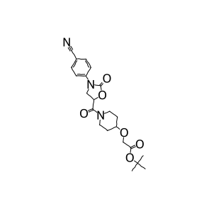 CC(C)(C)OC(=O)COC1CCN(C(=O)C2CN(c3ccc(C#N)cc3)C(=O)O2)CC1